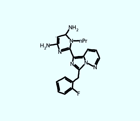 CCCN1C(c2nc(Cc3ccccc3F)n3ncccc23)=NC(N)=[C]C1N